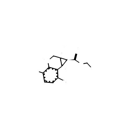 CCOC(=O)[C@@H]1[C@@H]2COc3c(F)ccc(N)c3[C@@H]21